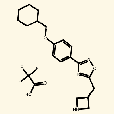 O=C(O)C(F)(F)F.c1cc(-c2noc(CC3CNC3)n2)ccc1OCC1CCCCC1